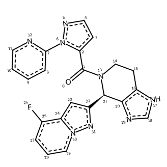 O=C(c1ccnn1-c1ccccn1)N1CCc2[nH]cnc2[C@H]1c1cc2c(F)cccn2n1